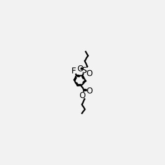 CCCCOC(=O)c1ccc(F)c(S(=O)(=O)CCCC)c1